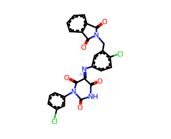 O=C1NC(=O)N(c2cccc(Cl)c2)C(=O)/C1=N/c1ccc(Cl)c(CN2C(=O)c3ccccc3C2=O)c1